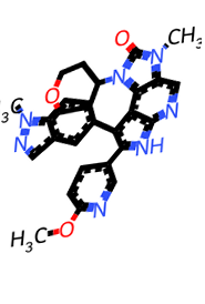 COc1ccc(-c2[nH]c3ncc4c(c3c2-c2ccc3c(cnn3C)c2)n(C2CCOCC2)c(=O)n4C)cn1